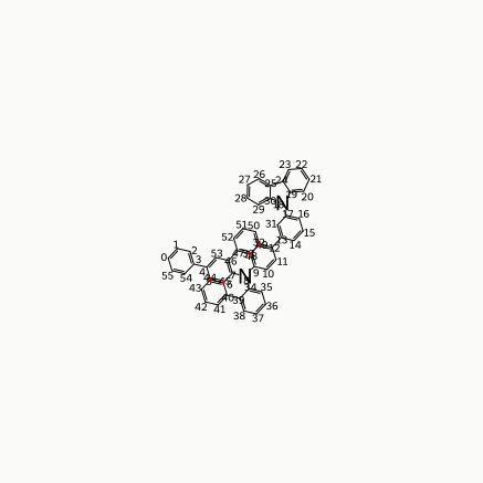 c1ccc(-c2ccc(N(c3ccc(-c4cccc(-n5c6ccccc6c6ccccc65)c4)cc3)c3ccccc3-c3ccccc3)c(-c3ccccc3)c2)cc1